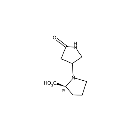 O=C1CC(N2CCC[C@H]2C(=O)O)CN1